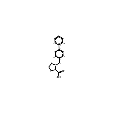 O=C(O)C1CCCN1Cc1ccc(-c2ccccc2)cc1